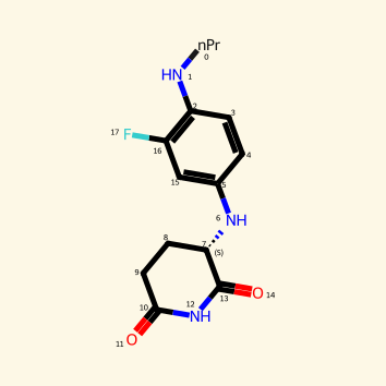 CCCNc1ccc(N[C@H]2CCC(=O)NC2=O)cc1F